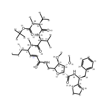 CC[C@H](C)C(/C=C/C(=O)NCC1O[C@@H](C(=O)N[C@@H](Cc2ccccc2)C2=NCCS2)[C@@H](OC)[C@@H]1OC)N(C)C(=O)[C@@H](NC(=O)[C@H](C(C)C)N(C)C(=O)OC(C)(C)C)C(C)C